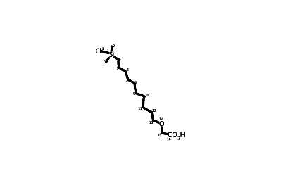 C[Si](C)(Cl)CCCCCCCCCCOCC(=O)O